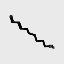 CCCCCCCC=C[C]=O